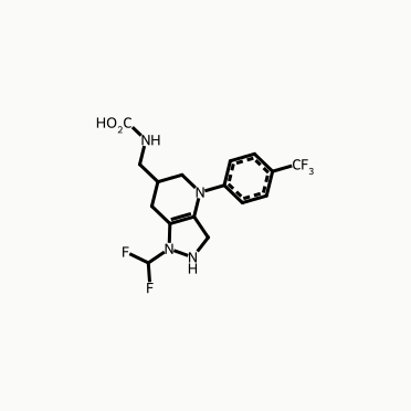 O=C(O)NCC1CC2=C(CNN2C(F)F)N(c2ccc(C(F)(F)F)cc2)C1